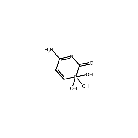 NC1=NC(=O)P(O)(O)(O)C=C1